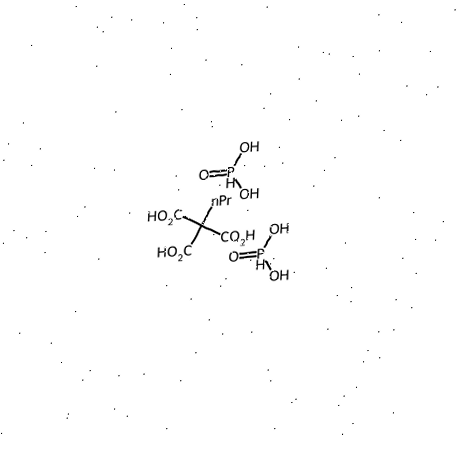 CCCC(C(=O)O)(C(=O)O)C(=O)O.O=[PH](O)O.O=[PH](O)O